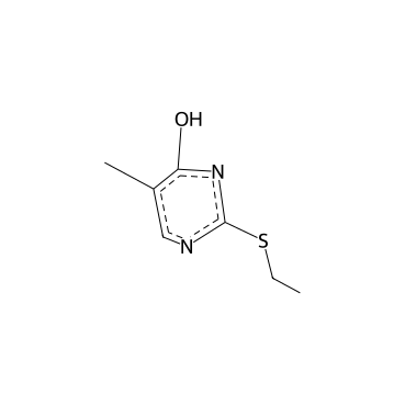 CCSc1ncc(C)c(O)n1